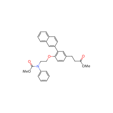 COC(=O)CCc1ccc(OCCN(C(=O)OC)c2ccccc2)c(-c2ccc3ccccc3c2)c1